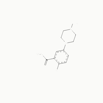 CNC(=O)c1cc(N2CCN(C)CC2)ccc1N